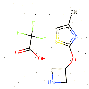 N#Cc1csc(OC2CNC2)n1.O=C(O)C(F)(F)F